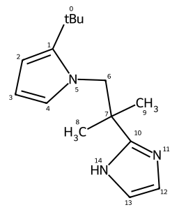 CC(C)(C)c1cccn1CC(C)(C)c1ncc[nH]1